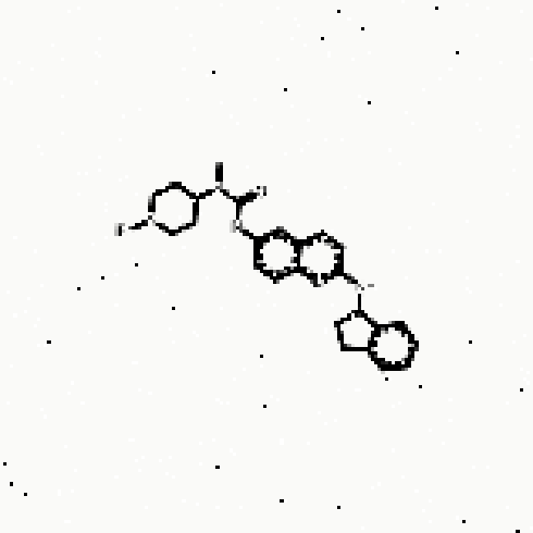 CC(C)N1CCC(N(C)C(=O)Nc2ccc3nc(N[C@@H]4CCc5ccccc54)ccc3c2)CC1